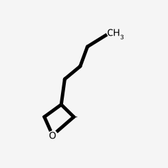 CCCCC1[CH]OC1